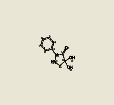 O=C1N(c2ccccc2)NCC1(O)O